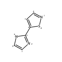 C1=CN=C(c2ccns2)[N]1